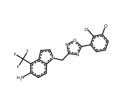 Nc1ccc2c(ccn2Cc2noc(-c3cccc(Cl)c3Cl)n2)c1C(F)(F)F